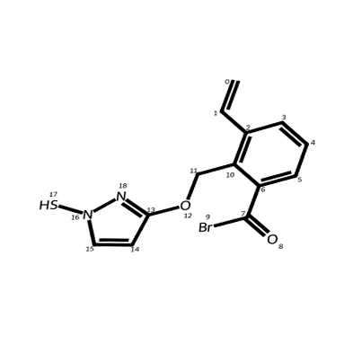 C=Cc1cccc(C(=O)Br)c1COc1ccn(S)n1